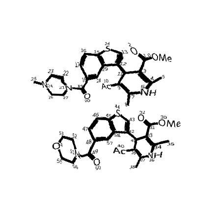 COC(=O)C1=C(C)NC(C)=C(C(C)=O)C1c1csc2ccc(C(=O)N3CCN(C)CC3)cc12.COC(=O)C1=C(C)NC(C)=C(C(C)=O)C1c1csc2ccc(C(=O)N3CCOCC3)cc12